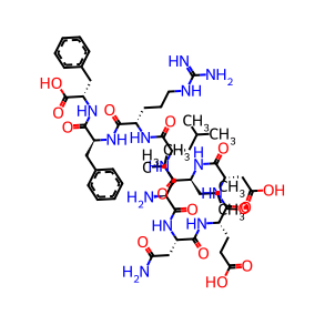 CC(C)C[C@H](NC(=O)[C@H](CC(C)C)NC(=O)[C@H](CC(=O)O)NC(=O)[C@H](CCC(=O)O)NC(=O)[C@H](CC(N)=O)NC(=O)[C@@H](N)CC(C)C)C(=O)N[C@@H](CCCNC(=N)N)C(=O)N[C@@H](Cc1ccccc1)C(=O)N[C@@H](Cc1ccccc1)C(=O)O